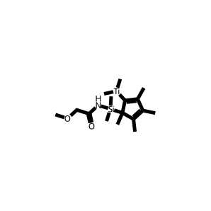 COCC(=O)N[Si](C)(C)C1(C)C(C)=C(C)C(C)=[C]1[Ti]([CH3])[CH3]